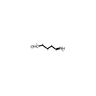 N=[C]CCC[C]=O